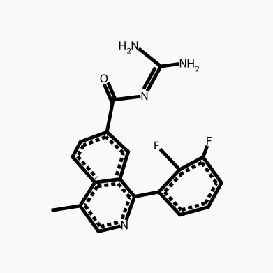 Cc1cnc(-c2cccc(F)c2F)c2cc(C(=O)N=C(N)N)ccc12